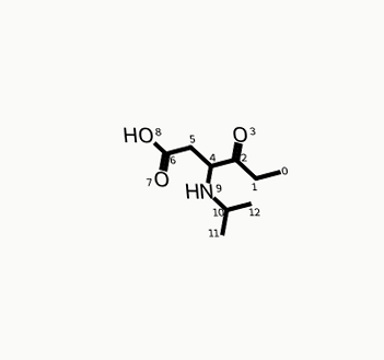 CCC(=O)C(CC(=O)O)NC(C)C